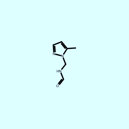 Cc1ccnn1CNC=O